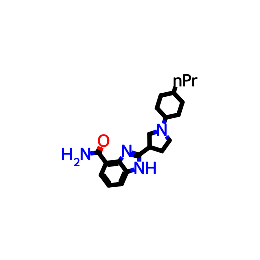 CCCC1CCC(N2CCC(c3nc4c(C(N)=O)cccc4[nH]3)C2)CC1